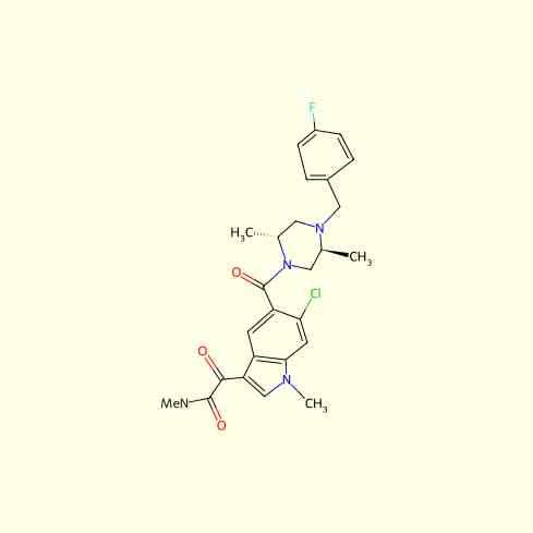 CNC(=O)C(=O)c1cn(C)c2cc(Cl)c(C(=O)N3C[C@H](C)N(Cc4ccc(F)cc4)C[C@H]3C)cc12